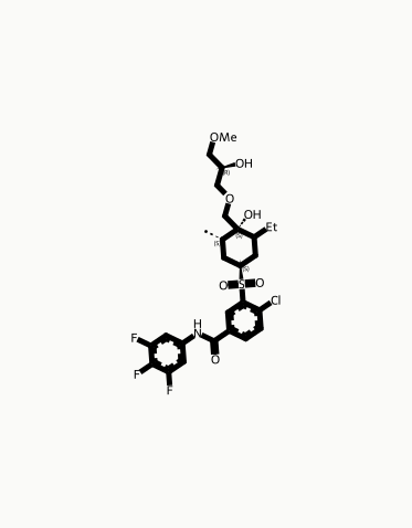 CCC1C[C@@H](S(=O)(=O)c2cc(C(=O)Nc3cc(F)c(F)c(F)c3)ccc2Cl)C[C@H](C)[C@@]1(O)COC[C@H](O)COC